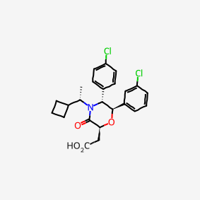 C[C@@H](C1CCC1)N1C(=O)[C@H](CC(=O)O)O[C@H](c2cccc(Cl)c2)[C@H]1c1ccc(Cl)cc1